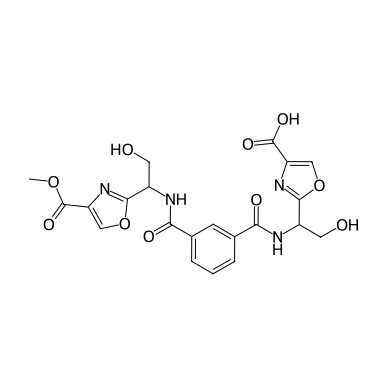 COC(=O)c1coc(C(CO)NC(=O)c2cccc(C(=O)NC(CO)c3nc(C(=O)O)co3)c2)n1